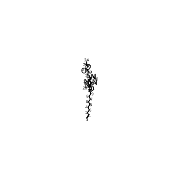 C=CCCCCCCCCCOc1c2ncnc(SCC(=O)OCC)c2nn1C